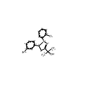 OC(C1=NN(c2ccccc2Cl)C(c2cccc(Br)c2)C1)(C(F)(F)F)C(F)(F)F